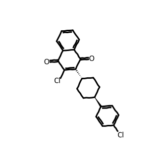 O=C1C(Cl)=C([C@H]2CC[C@H](c3ccc(Cl)cc3)CC2)C(=O)c2ccccc21